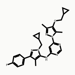 Cc1nn(-c2cc(Nc3c(C)c(-c4ccc(F)cc4)nn3CC3CC3)ncn2)c(C)c1OCC1CC1